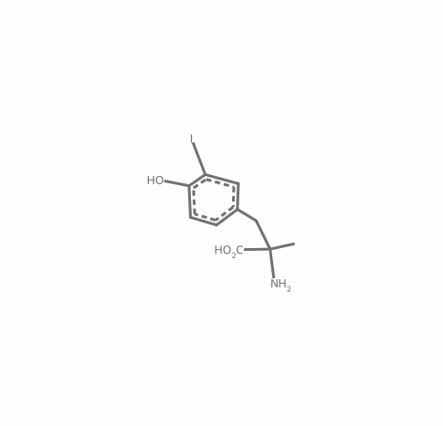 CC(N)(Cc1ccc(O)c(I)c1)C(=O)O